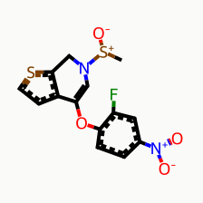 C[S+]([O-])N1C=C(Oc2ccc([N+](=O)[O-])cc2F)c2ccsc2C1